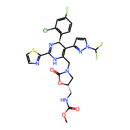 COC(=O)NC[C@H]1CN(CC2=C(c3ccn(C(F)F)n3)[C@H](c3ccc(F)cc3Cl)N=C(c3nccs3)N2)C(=O)O1